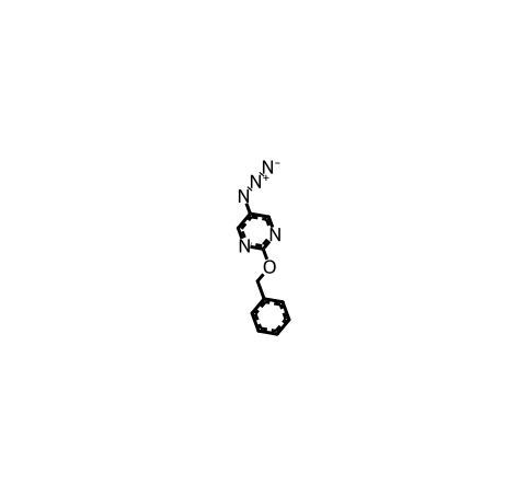 [N-]=[N+]=Nc1cnc(OCc2ccccc2)nc1